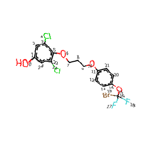 Oc1cc(Cl)c(OCCCOc2ccc(OC(F)(F)Br)cc2)c(Cl)c1